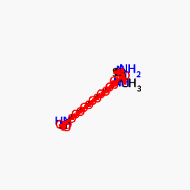 CCCN(OCCNC(=O)OCCOCCOCCOCCOCCOCCOCCOCCOCCOCCOCCNC(=O)CN1C(=O)C=CC1=O)C(=O)C1=Cc2cscc2N=C(N)C1